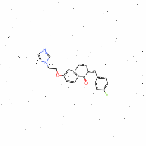 O=C1C(=Cc2ccc(F)cc2)CCc2cc(OCCn3ccnc3)ccc21